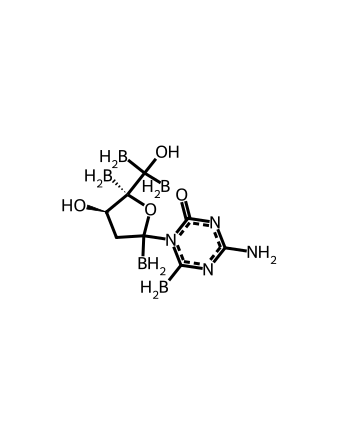 Bc1nc(N)nc(=O)n1C1(B)C[C@@H](O)[C@@](B)(C(B)(B)O)O1